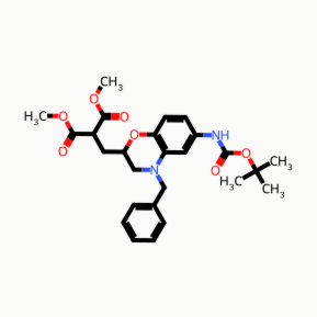 COC(=O)C(CC1CN(Cc2ccccc2)c2cc(NC(=O)OC(C)(C)C)ccc2O1)C(=O)OC